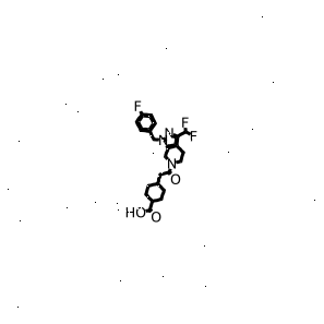 O=C(O)C1CCC(CC(=O)N2CCc3c(C(F)F)nn(Cc4ccc(F)cc4)c3C2)CC1